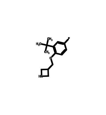 CC(C)(C)c1cc(F)ccc1OCC1CNC1